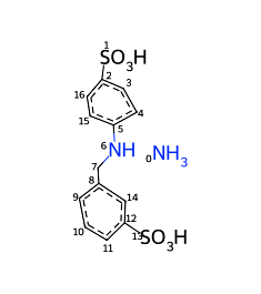 N.O=S(=O)(O)c1ccc(NCc2cccc(S(=O)(=O)O)c2)cc1